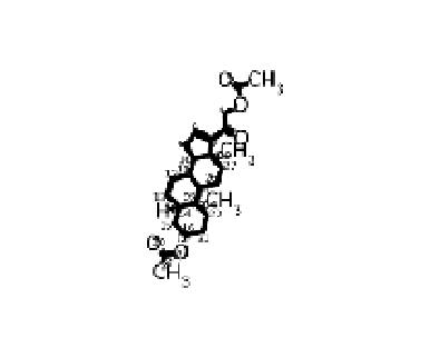 CC(=O)OCC(=O)C1=CCC2C3CC[C@H]4C[C@@H](OC(C)=O)CC[C@]4(C)C3CC[C@]12C